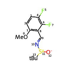 COc1ccc(F)c(F)c1C=N[S+]([O-])C(C)(C)C